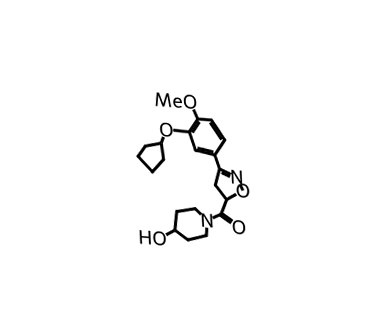 COc1ccc(C2=NOC(C(=O)N3CCC(O)CC3)C2)cc1OC1CCCC1